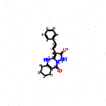 O=c1[nH]n2c(=O)c3c([nH]c2c1C=Cc1ccccc1)CCCC3